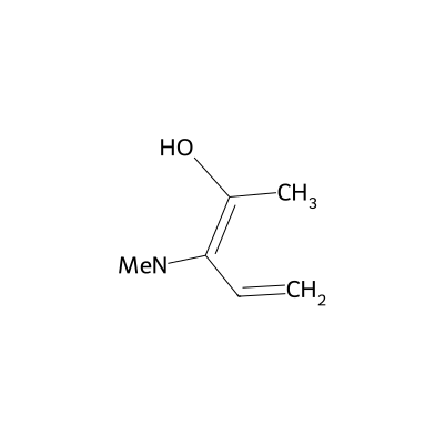 C=CC(NC)=C(C)O